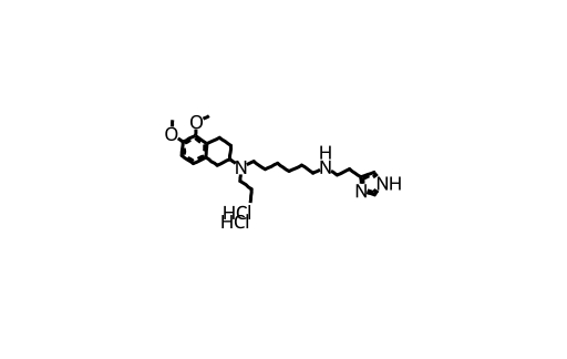 CCCN(CCCCCCNCCc1c[nH]cn1)C1CCc2c(ccc(OC)c2OC)C1.Cl.Cl